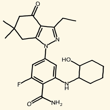 CCc1nn(-c2cc(F)c(C(N)=O)c(NC3CCCCC3O)c2)c2c1C(=O)CC(C)(C)C2